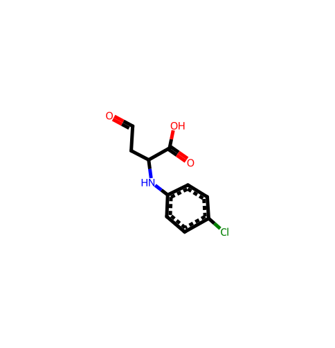 O=CCC(Nc1ccc(Cl)cc1)C(=O)O